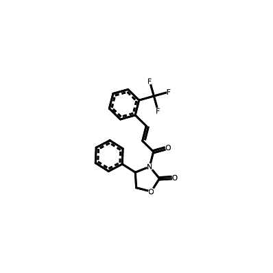 O=C(/C=C/c1ccccc1C(F)(F)F)N1C(=O)OCC1c1ccccc1